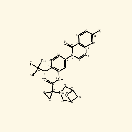 O=C(Nc1cc(-n2cnc3cc(Br)ccc3c2=O)ccc1OC(F)(F)F)C1(N2CC3CC(C2)O3)CC1